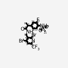 CC(C(=O)NCc1c(Br)cc(C(F)(F)F)nc1Br)c1ccc(NS(C)(=O)=O)c(F)c1